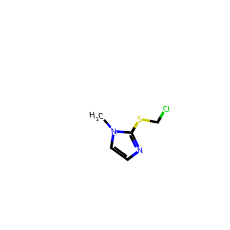 Cn1ccnc1SCCl